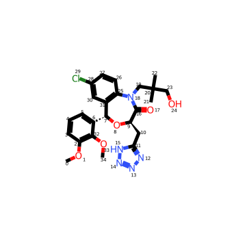 COc1cccc([C@H]2O[C@H](Cc3nnn[nH]3)C(=O)N(CC(C)(C)CO)c3ccc(Cl)cc32)c1OC